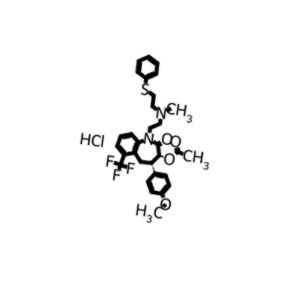 COc1ccc([C@@H]2Cc3c(cccc3C(F)(F)F)N(CCN(C)CCSc3ccccc3)C(=O)[C@@H]2OC(C)=O)cc1.Cl